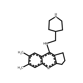 Cc1cc2nc3c(c(NCC4CCNCC4)c2cc1C)CCC3